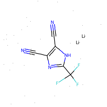 N#Cc1nc(C(F)(F)F)[nH]c1C#N.[Li].[Li]